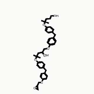 CC(C)(CCCO)Oc1ccc(Cc2ccc(OCC(O)CC(C)(C)Oc3ccc(Cc4ccc(OCC5CO5)cc4)cc3)cc2)cc1